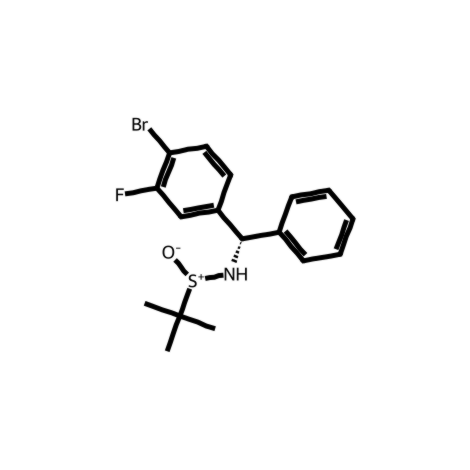 CC(C)(C)[S+]([O-])N[C@@H](c1ccccc1)c1ccc(Br)c(F)c1